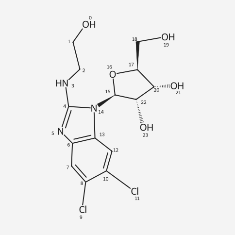 OCCNc1nc2cc(Cl)c(Cl)cc2n1[C@H]1O[C@@H](CO)[C@H](O)[C@@H]1O